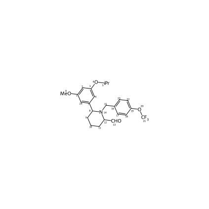 COc1cc(OC(C)C)cc(C2CCCC(C=O)N2Cc2ccc(OC(F)(F)F)cc2)c1